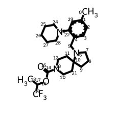 Cc1ccc(CN2CCCC23CCN(C(=O)OC(C)C(F)(F)F)CC3)c(N2CCCCC2)c1